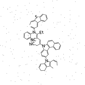 C=C(/C=c1\c(=C/C)sc2ccccc12)N(/C(CC)=C(C#N)/C=C(\CC#N)n1c2ccc(-n3c4c(c(C)c3/C=C\C)CCC=C4)cc2c2c3ccccc3ccc21)c1ccccc1C